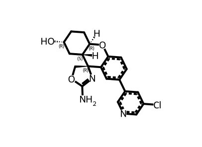 NC1=N[C@@]2(CO1)c1cc(-c3cncc(Cl)c3)ccc1O[C@@H]1CC[C@@H](O)C[C@H]12